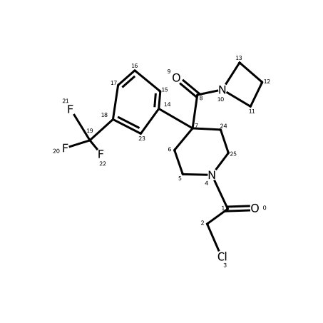 O=C(CCl)N1CCC(C(=O)N2CCC2)(c2cccc(C(F)(F)F)c2)CC1